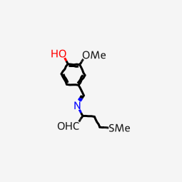 COc1cc(C=NC(C=O)CCSC)ccc1O